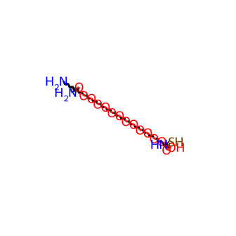 NCCCC[C@H](N)C(=O)CCOCCOCCOCCOCCOCCOCCOCCOCCOCCOCCOCCON[C@@H](CS)C(=O)O